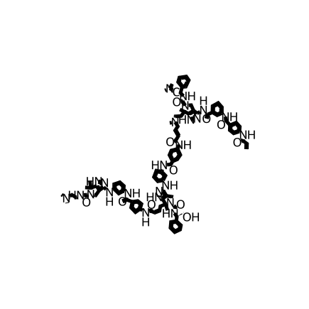 C=CC(=O)Nc1ccc(C(=O)Nc2cccc(C(=O)Nc3n[nH]c4c3CN(C(=O)N[C@H](CN(C)C)c3ccccc3)C4(C)CCN(C)C/C=C/C(=O)Nc3ccc(C(=O)Nc4cccc(Nc5n[nH]c6c5CN(C(=O)N[C@H](CO)c5ccccc5)C6(C)C/C=C\C(=O)Nc5ccc(C(=O)Nc6cccc(Nc7n[nH]c8c7CN(C(=O)NCCN(C)C)C8(C)C)c6)cc5)c4)cc3)c2)cc1